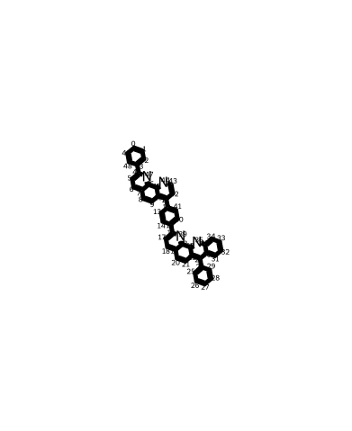 c1ccc(-c2ccc3ccc4c(-c5ccc(-c6ccc7ccc8c(-c9ccccc9)c9ccccc9nc8c7n6)cc5)ccnc4c3n2)cc1